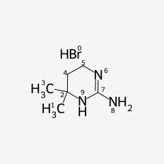 Br.CC1(C)CCN=C(N)N1